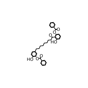 O=C(Oc1cc(CCCCCCCCC(=O)c2c(O)cccc2OC(=O)c2ccccc2)ccc1O)c1ccccc1